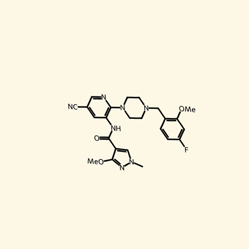 COc1cc(F)ccc1CN1CCN(c2ncc(C#N)cc2NC(=O)c2cn(C)nc2OC)CC1